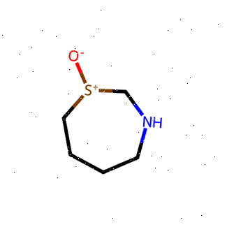 [O-][S+]1CCCCNC1